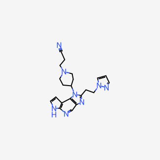 N#CCCN1CCC(n2c(CCn3cccn3)nc3cnc4[nH]ccc4c32)CC1